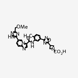 COCc1n[nH]c(-c2ccc3ncc(C(=O)Nc4cc(-c5noc(C6CN(C(=O)O)C6)n5)ccc4C)n3c2)n1